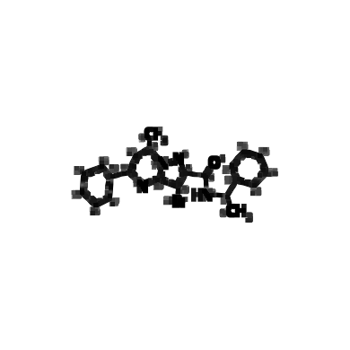 CC(NC(=O)c1nn2c(C(F)(F)F)cc(-c3ccccc3)nc2c1Br)c1ccccc1